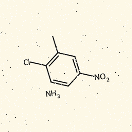 Cc1cc([N+](=O)[O-])ccc1Cl.N